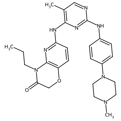 CCCN1C(=O)COc2ccc(Nc3nc(Nc4ccc(N5CCN(C)CC5)cc4)ncc3C)nc21